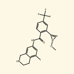 CON1N=C1c1cc(C(F)(F)F)ccc1C(=O)Nc1cc(I)c2c(c1)CNCC2